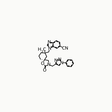 C[C@]1(Cn2cnc3ccc(C#N)cc32)CCC[C@@]2(CN(Cc3cn(-c4ccccc4)nn3)C(=O)O2)C1